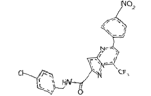 O=C(NCc1ccc(Cl)cc1)c1cc2nc(-c3ccc([N+](=O)[O-])cc3)cc(C(F)(F)F)n2n1